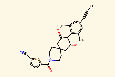 CC#Cc1cc(C)c(C2C(=O)CC3(CCN(C(=O)c4ccc(C#N)s4)CC3)CC2=O)c(C)c1